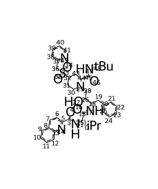 CC(C)[C@H](NC(=O)c1ccc2ccccc2n1)C(=O)NC(Cc1ccccc1)C(O)CN1CCC(S(=O)(=O)Cc2ccccn2)CC1C(=O)NC(C)(C)C